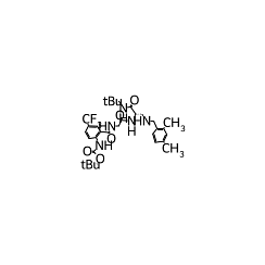 Cc1ccc(CNC[C@H](NC(=O)CNC(=O)c2cc(C(F)(F)F)ccc2NC(=O)OC(C)(C)C)C(=O)NC(C)(C)C)c(C)c1